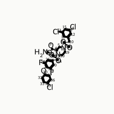 NOC(=O)[C@H]1CN(S(=O)(=O)Cc2cc(Cl)cc(Cl)c2)CCN1S(=O)(=O)c1cc(F)c(Oc2ccc(Cl)cc2)c(F)c1